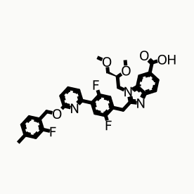 COC[C@H](Cn1c(Cc2cc(F)c(-c3cccc(OCc4ccc(C)cc4F)n3)cc2F)nc2ccc(C(=O)O)cc21)OC